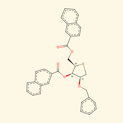 O=C(OC[C@H]1SC[C@@H](OCc2ccccc2)[C@H]1OC(=O)c1ccc2ccccc2c1)c1ccc2ccccc2c1